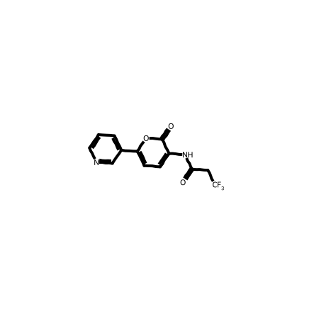 O=C(CC(F)(F)F)Nc1ccc(-c2cccnc2)oc1=O